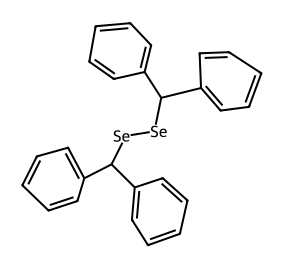 c1ccc(C([Se][Se]C(c2ccccc2)c2ccccc2)c2ccccc2)cc1